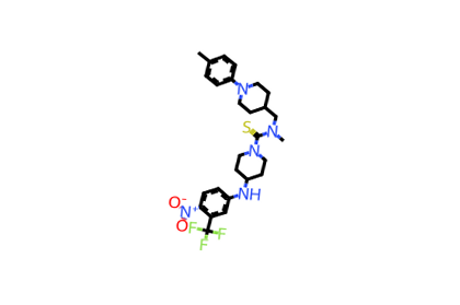 Cc1ccc(N2CCC(CN(C)C(=S)N3CCC(Nc4ccc([N+](=O)[O-])c(C(F)(F)F)c4)CC3)CC2)cc1